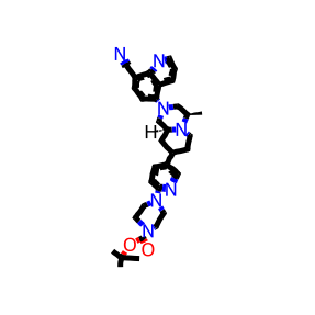 C[C@@H]1CN(c2ccc(C#N)c3ncccc23)C[C@@H]2CC(c3ccc(N4CCN(C(=O)OC(C)(C)C)CC4)nc3)CCN21